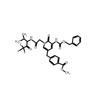 COC(=O)c1ccc(Cc2cc(NC(=O)OCc3ccccc3)c(=O)n(CC(=O)NC(C(=O)C(F)(F)F)C(C)C)c2)cc1